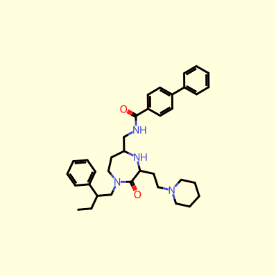 CCC(CN1CCC(CNC(=O)c2ccc(-c3ccccc3)cc2)NC(CCN2CCCCC2)C1=O)c1ccccc1